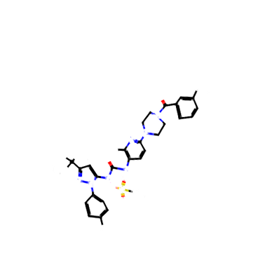 Cc1ccc(-n2nc(C(C)(C)C)cc2N(OS(C)(=O)=O)C(=O)Nc2ccc(N3CCN(C(=O)c4cccc(C)c4)CC3)nc2C)cc1